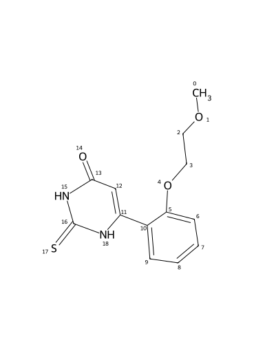 COCCOc1ccccc1-c1cc(=O)[nH]c(=S)[nH]1